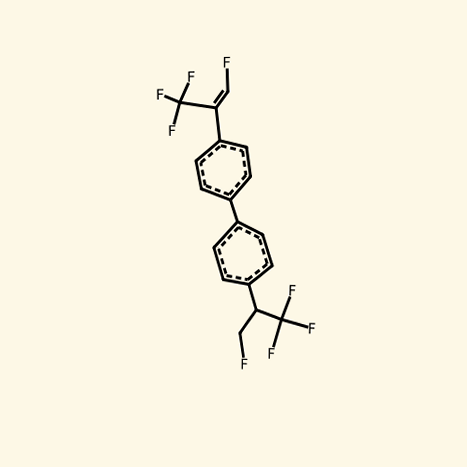 F/C=C(/c1ccc(-c2ccc(C(CF)C(F)(F)F)cc2)cc1)C(F)(F)F